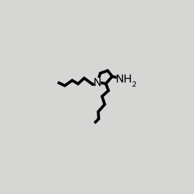 CCCCCCC1C(N)CCN1CCCCCC